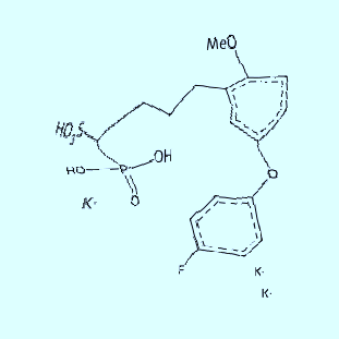 COc1ccc(Oc2ccc(F)cc2)cc1CCCC(P(=O)(O)O)S(=O)(=O)O.[K].[K].[K]